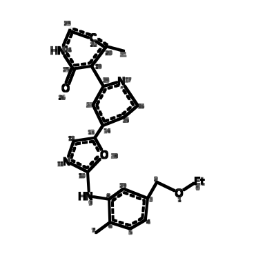 CCOCc1ccc(C)c(Nc2ncc(-c3ccnc(-c4c(C)cc[nH]c4=O)c3)o2)c1